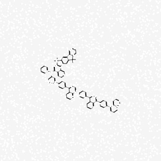 CC1(C)c2ccccc2-c2cc3c(cc21)-c1c(cc(N(c2ccccc2)c2cccc(-c4ccc(-c5ccc(-c6ccc(-c7ccc(-c8ccc(-c9cccc%10ccccc9%10)cc8)c8ccccc78)cc6)c6ccccc56)cc4)c2)c2ccccc12)C3(C)C